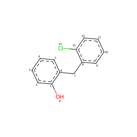 Oc1c[c]ccc1Cc1ccccc1Cl